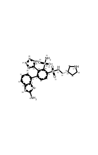 Nc1nc2c(-c3ccc(S(=O)(=O)NC[C@H]4CCNC4)c(S(N)(=O)=O)c3-c3nnn[nH]3)cccc2s1